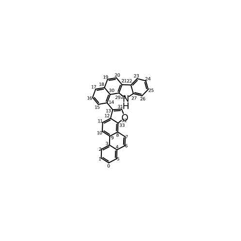 c1ccc2c(c1)ccc1c2ccc2c(-c3cccc4ccc5c6ccccc6[nH]c5c34)coc21